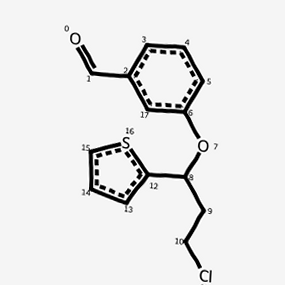 O=Cc1cccc(OC(CCCl)c2cccs2)c1